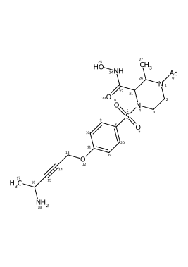 CC(=O)N1CCN(S(=O)(=O)c2ccc(OCC#CC(C)N)cc2)C(C(=O)NO)C1C